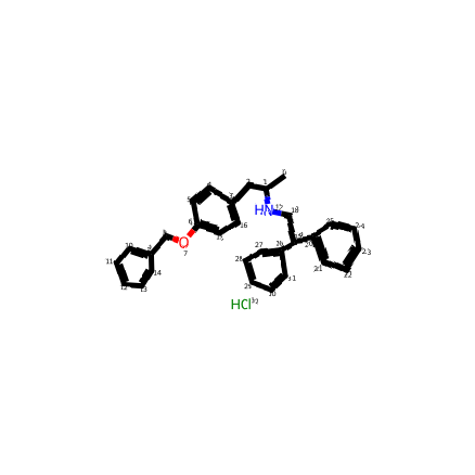 CC(Cc1ccc(OCc2ccccc2)cc1)NCC(c1ccccc1)c1ccccc1.Cl